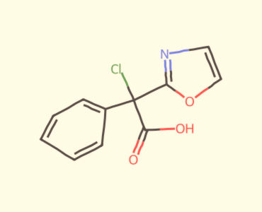 O=C(O)C(Cl)(c1ccccc1)c1ncco1